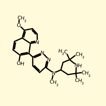 COc1ccnc2c(-c3ccc(N(C)C4CC(C)(C)NC(C)(C)C4)nn3)c(O)ccc12